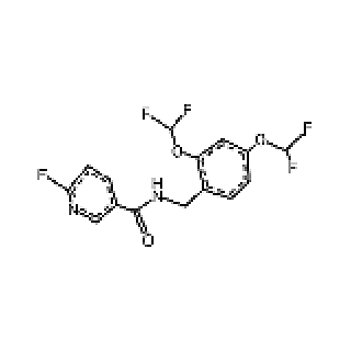 O=C(NCc1ccc(OC(F)F)cc1OC(F)F)c1ccc(F)nc1